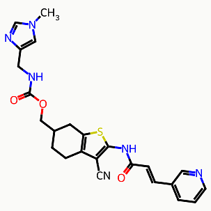 Cn1cnc(CNC(=O)OCC2CCc3c(sc(NC(=O)C=Cc4cccnc4)c3C#N)C2)c1